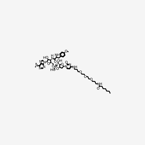 CCCCCCC(=O)NCCCOCCOCCOCCCNc1ccn([C@H]2C[C@@H](OP(=O)(O)OC[C@H]3O[C@@H](n4cnc5c(N(C)C)ncnc54)C(O)[C@H]3NC(=O)C(N)Cc3ccc(OC)cc3)[C@@H](CO)O2)c(=O)n1